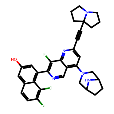 Oc1cc(-c2ncc3c(N4CC5CCC(C4)N5)cc(C#CC45CCCN4CCC5)nc3c2F)c2c(Cl)c(F)ccc2c1